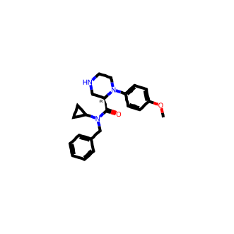 COc1ccc(N2CCNC[C@@H]2C(=O)N(Cc2ccccc2)C2CC2)cc1